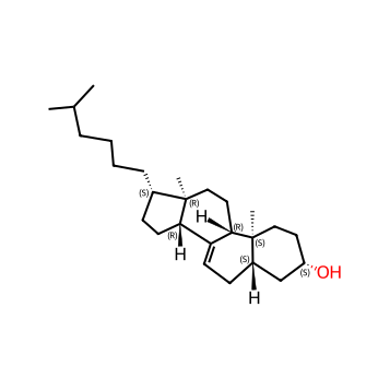 CC(C)CCCC[C@H]1CC[C@H]2C3=CC[C@H]4C[C@@H](O)CC[C@]4(C)[C@H]3CC[C@]12C